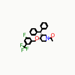 CC(=O)N1CC[C@H](OCc2cc(F)cc(C(F)(F)F)c2)[C@H](C(c2ccccc2)c2ccccc2)C1